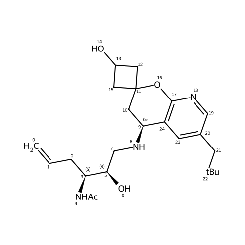 C=CC[C@H](NC(C)=O)[C@H](O)CN[C@H]1CC2(CC(O)C2)Oc2ncc(CC(C)(C)C)cc21